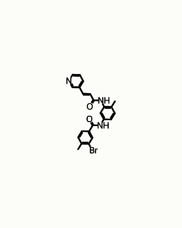 Cc1ccc(C(=O)Nc2ccc(C)c(NC(=O)/C=C/c3cccnc3)c2)cc1Br